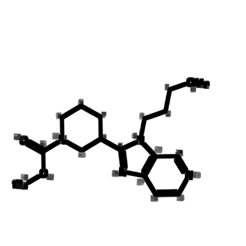 COCCCn1c(C2CCCN(C(=O)OC(C)(C)C)C2)nc2ccncc21